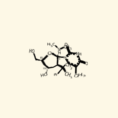 Cc1cn([C@]2([SiH](C)C)O[C@H](CO)[C@@H](O)C2C(C)(C)C(C)C)c(=O)[nH]c1=O